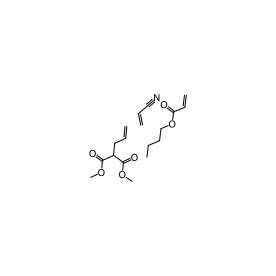 C=CC#N.C=CC(=O)OCCCC.C=CCC(C(=O)OC)C(=O)OC